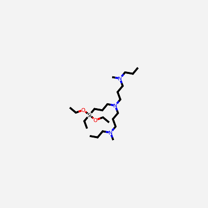 CCCN(C)CCCN(CCCN(C)CCC)CCC[Si](CC)(OCC)OCC